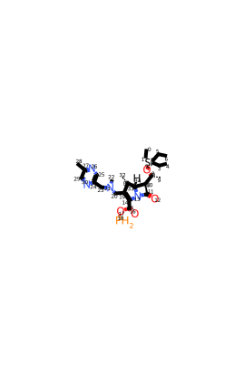 CC[Si](CC)(CC)O[C@H](C)[C@H]1C(=O)N2C(C(=O)OP)=C(CN(C)Cc3cnc(C)cn3)[C@H](C)[C@H]12